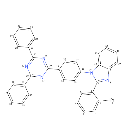 CC(C)c1ccccc1-c1nc2ccccc2n1-c1ccc(-c2nc(-c3ccccc3)nc(-c3ccccc3)n2)cc1